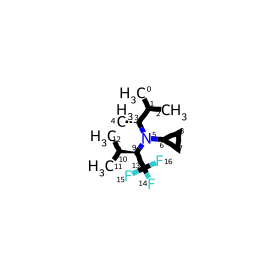 CC(C)[C@@H](C)N(C1CC1)[C@H](C(C)C)C(F)(F)F